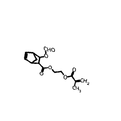 C=C(C)C(=O)OCCOC(=O)C1C2C=CC(C2)C1OC=O